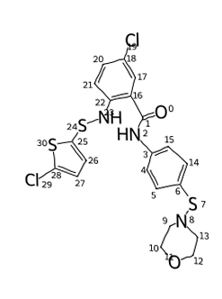 O=C(Nc1ccc(SN2CCOCC2)cc1)c1cc(Cl)ccc1NSc1ccc(Cl)s1